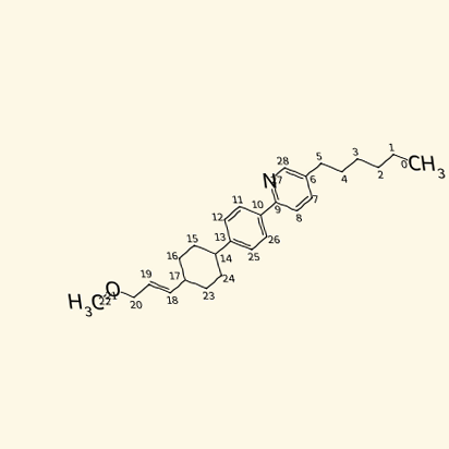 CCCCCCc1ccc(-c2ccc(C3CCC(C=CCOC)CC3)cc2)nc1